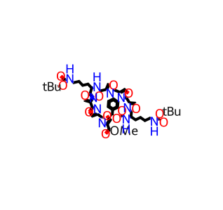 COC(=O)c1coc(-c2coc(-c3coc(C(CCCCNC(=O)OC(C)(C)C)NC(=O)c4coc(-c5coc(-c6coc(C(CCCCNC(=O)OC(C)(C)C)NC(=O)OCc7ccccc7)n6)n5)n4)n3)n2)n1